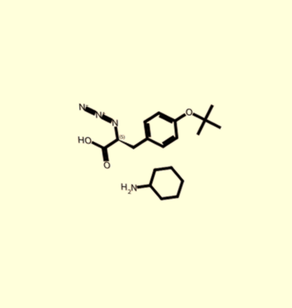 CC(C)(C)Oc1ccc(C[C@H](N=[N+]=[N-])C(=O)O)cc1.NC1CCCCC1